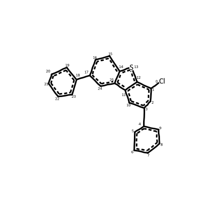 Clc1cc(-c2ccccc2)cc2c1sc1ccc(-c3ccccc3)cc12